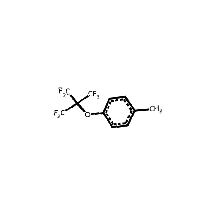 Cc1ccc(OC(C(F)(F)F)(C(F)(F)F)C(F)(F)F)cc1